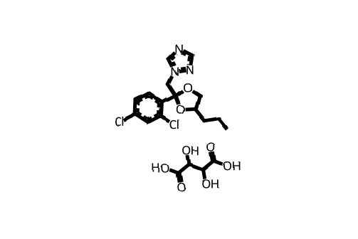 CCCC1COC(Cn2cncn2)(c2ccc(Cl)cc2Cl)O1.O=C(O)C(O)C(O)C(=O)O